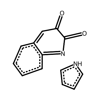 O=C1C=c2ccccc2=NC1=O.c1cc[nH]c1